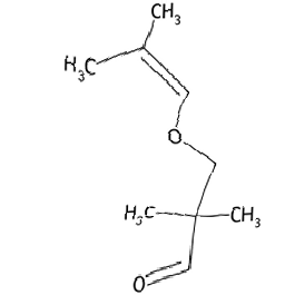 CC(C)=COCC(C)(C)C=O